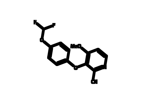 COc1ccnc(C#N)c1Oc1ccc(OC(F)F)cc1